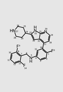 Fc1ccc(NCc2c(F)cccc2F)cc1-c1ccnc2[nH]c(C3CCNCC3)cc12